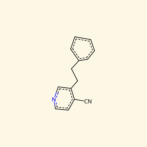 N#Cc1ccncc1CCc1ccccc1